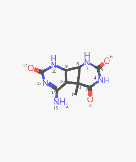 CC12C(=O)NC(=O)NC1C1NC(=O)N=C(N)C12